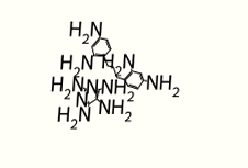 Nc1ccc(CCCc2ccc(N)cc2N)c(N)c1.Nc1nc(N)c(N)c(N)n1